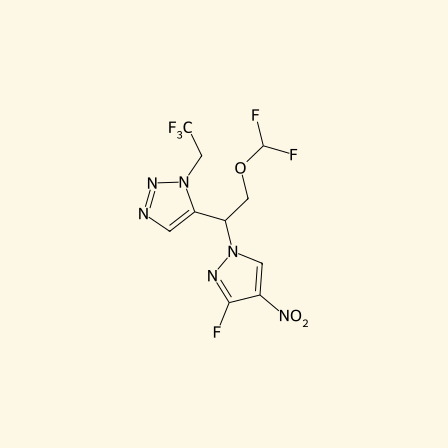 O=[N+]([O-])c1cn(C(COC(F)F)c2cnnn2CC(F)(F)F)nc1F